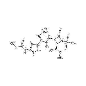 CCCCOC(=O)[C@H]1[C@@H](NC(=O)C(=NOC)c2csc(NC(=O)CCl)n2)C(=O)N1S(=O)(=O)[O-].[Na+]